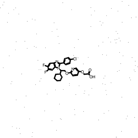 O=C(O)COc1ccc(OCC(C2CCCCC2)n2c(-c3ccc(Cl)cc3)nc3cc(F)c(F)cc32)nc1